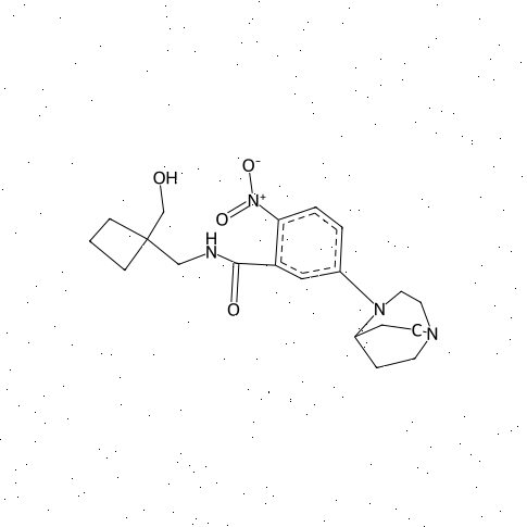 O=C(NCC1(CO)CCC1)c1cc(N2CCN3CCC2CC3)ccc1[N+](=O)[O-]